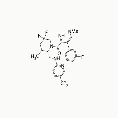 CN/C=C(\C(=N)C(=O)N1CC(F)(F)CC(C)[C@H]1CNc1ccc(C(F)(F)F)cn1)c1cccc(F)c1